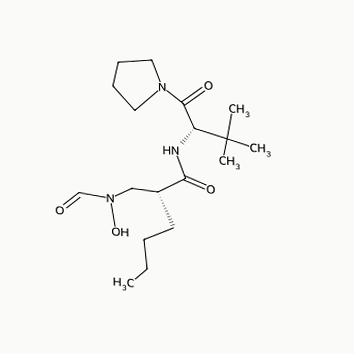 CCCC[C@H](CN(O)C=O)C(=O)N[C@H](C(=O)N1CCCC1)C(C)(C)C